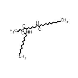 CCCCCCCCCCCC(=O)NCCCCC(NC(=O)CCCCCCCCCCC)C(=O)OCCC